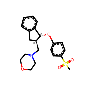 CS(=O)(=O)c1ccc(O[C@H]2c3ccccc3C[C@@H]2CN2CCOCC2)cc1